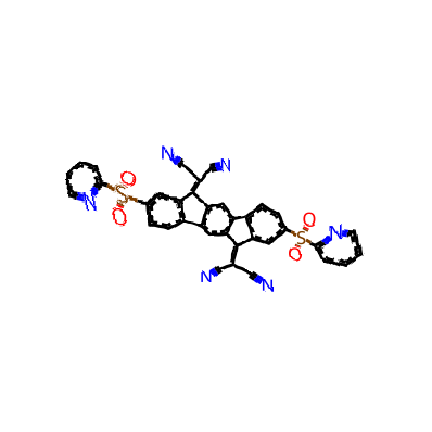 N#CC(C#N)=C1c2cc(S(=O)(=O)c3ccccn3)ccc2-c2cc3c(cc21)-c1ccc(S(=O)(=O)c2ccccn2)cc1C3=C(C#N)C#N